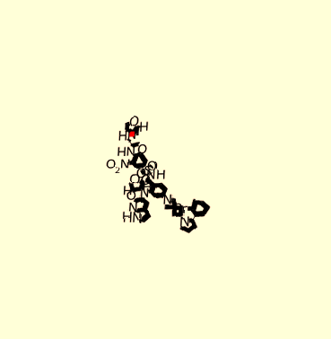 CC(C)c1ccccc1[C@@H]1CCCN1C1CC2(C1)CN(c1ccc(C(=O)NS(=O)(=O)c3cc4c(c([N+](=O)[O-])c3)N[C@H](CN3C[C@@H]5C[C@H]3CO5)CO4)c(N3c4cc5cc[nH]c5nc4O[C@@H]4COC[C@H]43)c1)C2